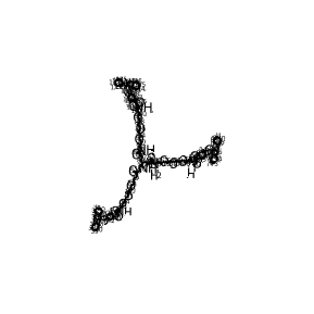 NC(CCC(=O)CCCOCCOCCOCCNS(=O)(=O)c1ccc(O[C@H]2c3ccccc3C[C@@H]2N2CCCCC2)cc1)(CCC(=O)NCCOCCOCCOCCNS(=O)(=O)c1ccc(O[C@H]2c3ccccc3C[C@@H]2N2CCCCC2)cc1)CCC(=O)NCCOCCOCCOCCNS(=O)(=O)c1ccc(O[C@H]2c3ccccc3C[C@@H]2N2CCCCC2)cc1